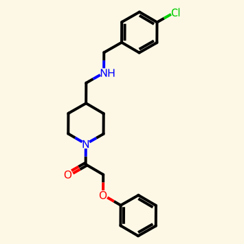 O=C(COc1ccccc1)N1CCC(CNCc2ccc(Cl)cc2)CC1